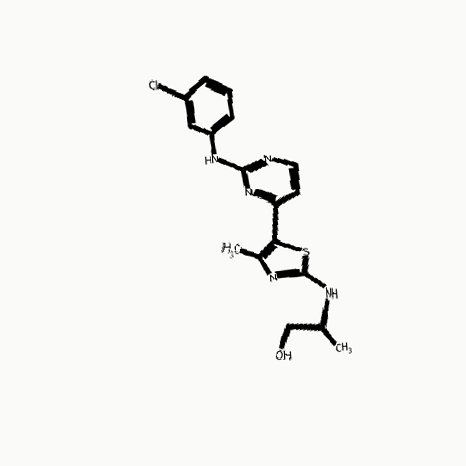 Cc1nc(NC(C)CO)sc1-c1ccnc(Nc2cccc(Cl)c2)n1